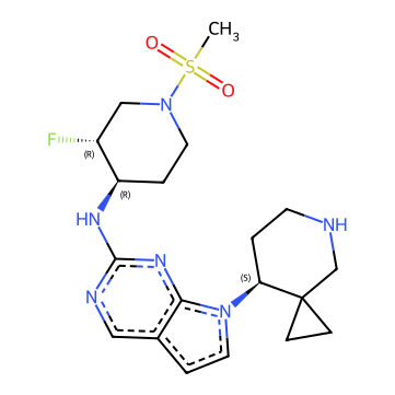 CS(=O)(=O)N1CC[C@@H](Nc2ncc3ccn([C@H]4CCNCC45CC5)c3n2)[C@H](F)C1